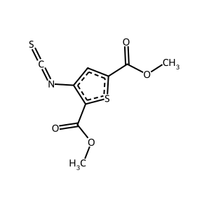 COC(=O)c1cc(N=C=S)c(C(=O)OC)s1